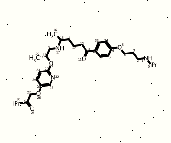 CC(C)NCCCOc1ccc(C(=O)CCCC(C)NC[C@@H](C)Oc2ccc(OCC(=O)C(C)C)cn2)cc1